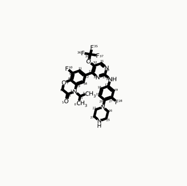 CC(C)N1C(=O)COc2c(F)cc(-c3nc(Nc4ccc(N5CCNCC5)c(F)c4)ncc3OC(F)(F)F)cc21